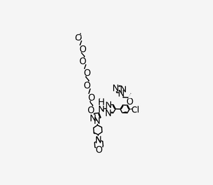 COCCOCCOCCOCCOCCOCCOc1nn(C2CCC(N3CCOCC3)CC2)cc1Nc1ncc(-c2ccc(Cl)c(O[C@@H](C)Cn3cncn3)c2)cn1